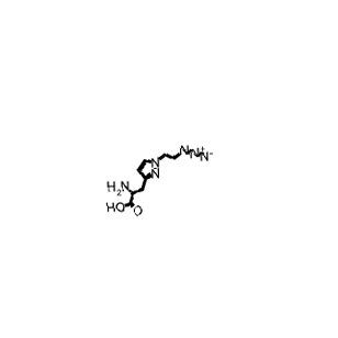 [N-]=[N+]=NCCn1ccc(C[C@H](N)C(=O)O)n1